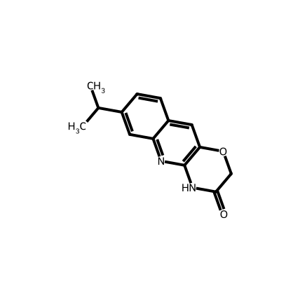 CC(C)c1ccc2cc3c(nc2c1)NC(=O)CO3